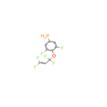 FC(F)=CC(F)(F)Oc1c(F)cc(P)cc1F